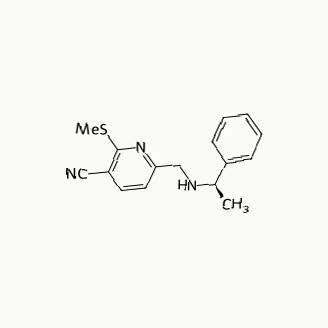 CSc1nc(CN[C@H](C)c2ccccc2)ccc1C#N